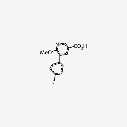 COc1ncc(C(=O)O)cc1-c1ccc(Cl)cc1